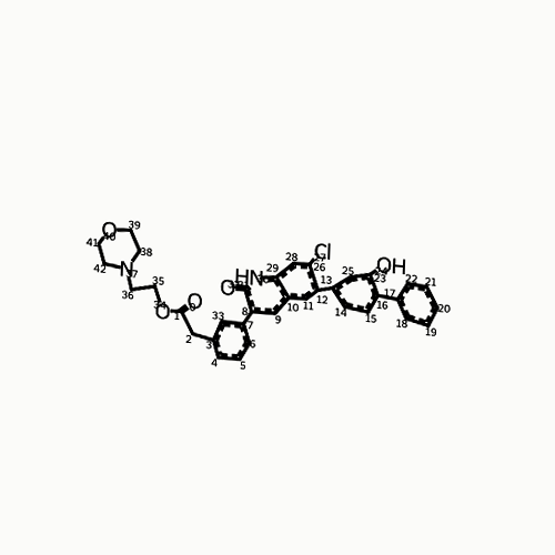 O=C(Cc1cccc(-c2cc3cc(-c4ccc(-c5ccccc5)c(O)c4)c(Cl)cc3[nH]c2=O)c1)OCCN1CCOCC1